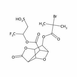 CC(C)(Br)C(=O)OC1C2OC(=O)C3C2OC1C3C(=O)OC(CS(=O)(=O)O)C(F)(F)F